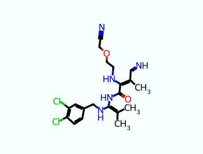 CC(C)=C(NCc1ccc(Cl)c(Cl)c1)NC(=O)/C(NCCOCC#N)=C(\C)C=N